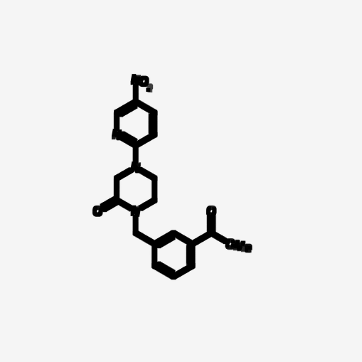 COC(=O)c1cccc(CN2CCN(c3ccc([N+](=O)[O-])cn3)CC2=O)c1